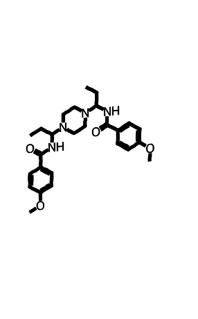 CCC(NC(=O)c1ccc(OC)cc1)N1CCN(C(CC)NC(=O)c2ccc(OC)cc2)CC1